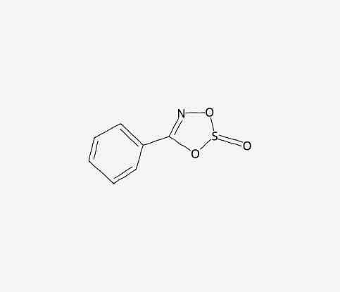 O=S1ON=C(c2ccccc2)O1